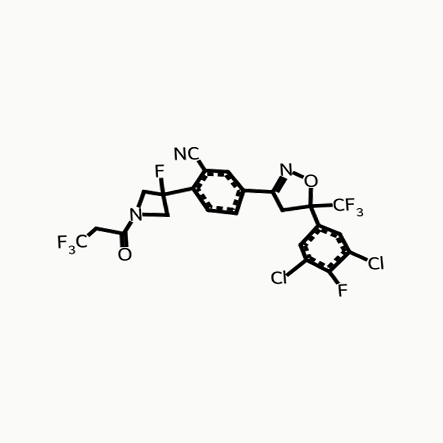 N#Cc1cc(C2=NOC(c3cc(Cl)c(F)c(Cl)c3)(C(F)(F)F)C2)ccc1C1(F)CN(C(=O)CC(F)(F)F)C1